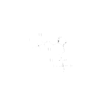 CC(C)(C)[Si](C)(C)OCc1cocc1CO[Si](C)(C)C(C)(C)C